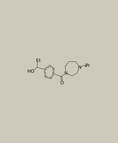 CCC(O)c1ccc(C(=O)N2CCCN(C(C)C)CC2)cc1